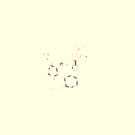 CC(C)(C)OC(=O)N1[C@@H]2CC[C@H]1C[C@@H](OCc1c(-c3c(Cl)cccc3Cl)noc1C1CC1)C2